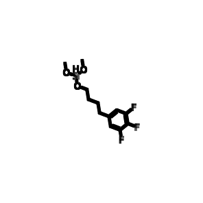 CO[SiH](OC)OCCCCc1cc(F)c(F)c(F)c1